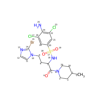 CC1CCN(C(=O)C(CCn2ccnc2Br)NS(=O)(=O)c2cc(Cl)c(N)c(Cl)c2)CC1